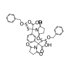 O=C1CCC(=O)N1C(SSOCc1ccccc1)(C(=O)O)c1cccc(C(SSOCc2ccccc2)(C(=O)O)N2C(=O)CCC2=O)c1